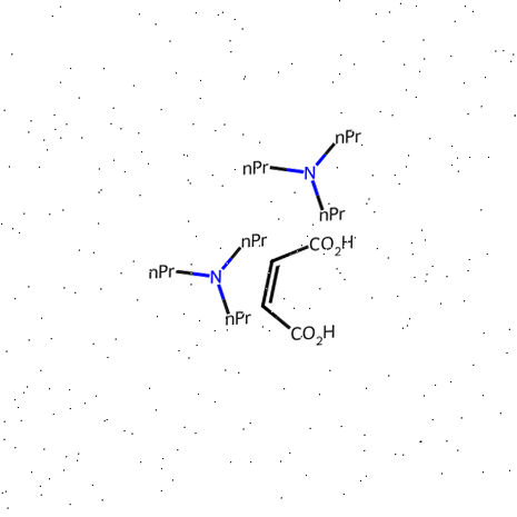 CCCN(CCC)CCC.CCCN(CCC)CCC.O=C(O)/C=C\C(=O)O